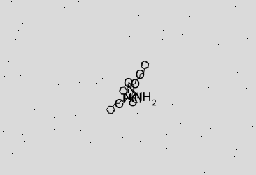 Cl.N[C@H]1CN(C(=O)OCCOCc2ccccc2)c2ccccc2N(CCOCc2ccccc2)C1=O